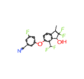 CC1c2ccc(Oc3cc(F)cc(C#N)c3)c(C(F)F)c2C(O)C1(F)F